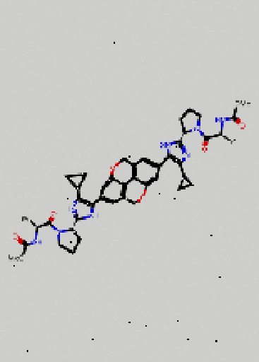 COC(=O)N[C@H](C(=O)N1CCC[C@H]1c1nc(C2CC2)c(-c2cc3c4c(c2)OCc2cc(-c5[nH]c([C@@H]6CCCN6C(=O)[C@@H](NC(=O)OC)C(C)C)nc5C5CC5)cc(c2-4)OC3)[nH]1)C(C)C